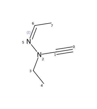 C#CN(CC)/N=C\C